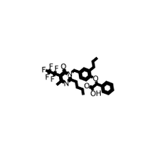 CCCCc1nc(C)c(C(F)(F)C(F)(F)F)c(=O)n1Cc1ccc(OC(C(=O)O)c2ccccc2)c(CCC)c1